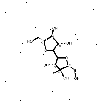 OC[C@H]1OC([C]2O[C@H](CO)[C@](O)(F)[C@@H]2O)[C@@H](O)[C@@H]1O